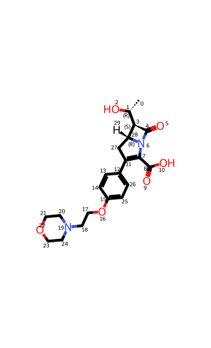 C[C@@H](O)[C@H]1C(=O)N2C(C(=O)O)=C(c3ccc(OCCN4CCOCC4)cc3)C[C@H]12